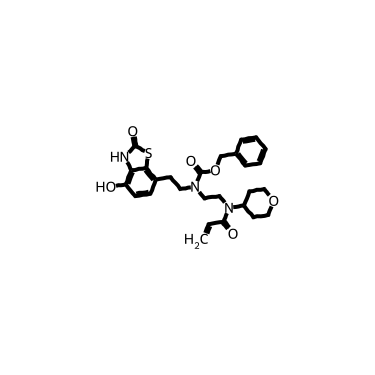 C=CC(=O)N(CCN(CCc1ccc(O)c2[nH]c(=O)sc12)C(=O)OCc1ccccc1)C1CCOCC1